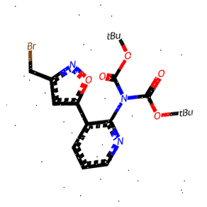 CC(C)(C)OC(=O)N(C(=O)OC(C)(C)C)c1ncccc1-c1cc(CBr)no1